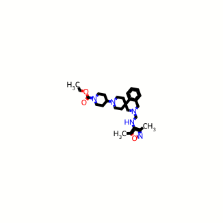 CCOC(=O)N1CCC(N2CCC3(CC2)CN(CNc2c(C)noc2C)Cc2ccccc23)CC1